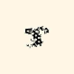 C[C@@H](Cn1cncn1)Oc1nc(N2CC3CCC(C2)N3)c2cc(Cl)c(-c3ccc(F)c4sc(N)nc34)c(F)c2n1